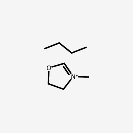 CCCC.C[N+]1=COCC1